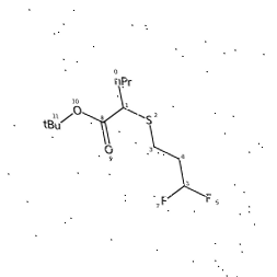 CCCC(SCCC(F)F)C(=O)OC(C)(C)C